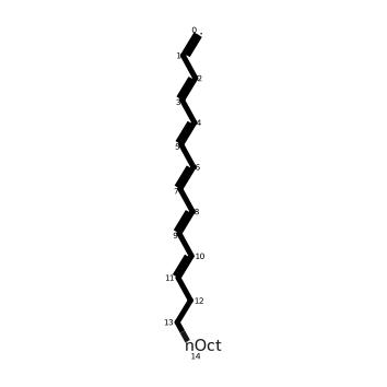 [CH]=CC=CC=CC=CC=CC=CCCCCCCCCCC